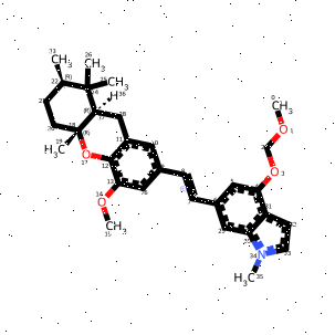 COCOc1cc(/C=C/c2cc3c(c(OC)c2)O[C@]2(C)CC[C@@H](C)C(C)(C)[C@H]2C3)cc2c1ccn2C